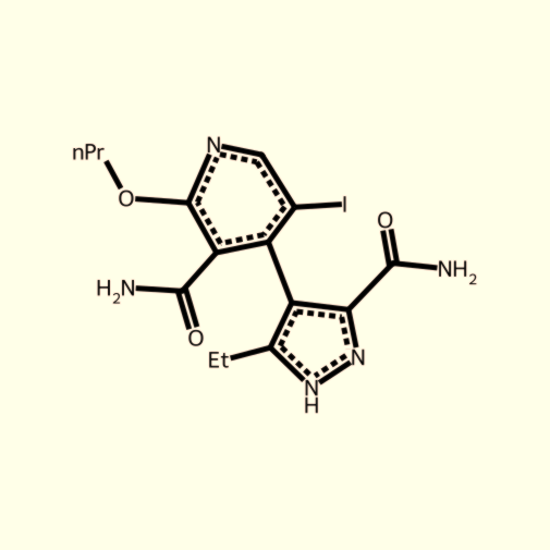 CCCOc1ncc(I)c(-c2c(C(N)=O)n[nH]c2CC)c1C(N)=O